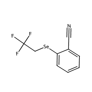 N#Cc1ccccc1[Se]CC(F)(F)F